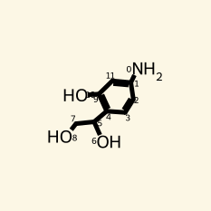 Nc1ccc(C(O)CO)c(O)c1